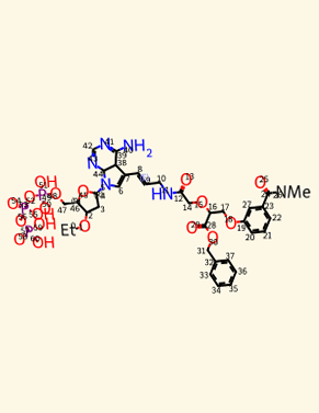 CCOC1C[C@H](N2C=C(/C=C/CNC(=O)COC(COc3cccc(C(=O)NC)c3)C(=O)OCc3ccccc3)C3C(N)=NC=NC32)O[C@@H]1COP(=O)(O)OP(=O)(O)OP(=O)(O)O